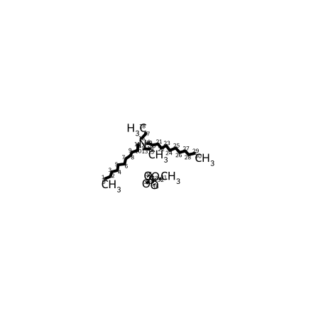 CCCCCCCCCCCC[N+](CCC)(CCC)CCCCCCCCCCCC.CCOS(=O)(=O)[O-]